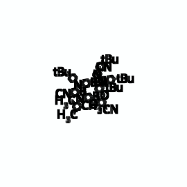 [C-]#[N+]c1cc2c3c(c1)N(c1c(C)cc(C)cc1C)c1cc4c(cc1B3c1cc(C(C)(C)C)ccc1N2c1ccc(C(C)(C)C)cc1)B1c2cc3c(cc2Oc2cc(C#N)cc(c21)O4)N(c1ccc(C(C)(C)C)cc1)c1cc(C#N)cc2c1B3c1cc(C(C)(C)C)ccc1N2c1ccc(C(C)(C)C)cc1